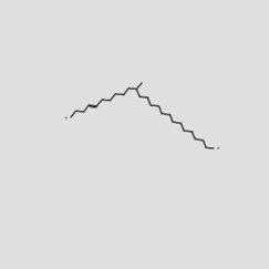 [CH2]CCC=CCCCCCC(C)CCCCCCCCCCCCC[CH2]